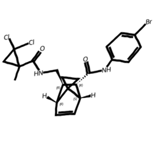 CC1(C(=O)NC[C@H]2[C@H](C(=O)Nc3ccc(Br)cc3)[C@@H]3C=C[C@H]2C32CC2)CC1(Cl)Cl